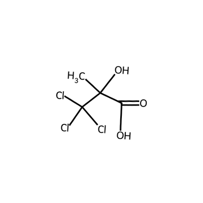 CC(O)(C(=O)O)C(Cl)(Cl)Cl